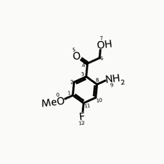 COc1cc(C(=O)CO)c(N)cc1F